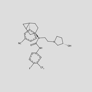 N#Cc1cccc([C@]23CC[C@@H](N(CCN4CC[C@H](O)C4)C(=O)Nc4ccc(F)c(C(F)(F)F)c4)CC2C3)c1